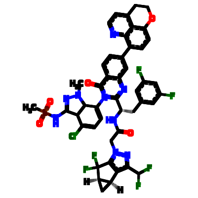 CN1N=C(NS(C)(=O)=O)C2C(Cl)=CC=C(n3c([C@H](Cc4cc(F)cc(F)c4)NC(=O)Cn4nc(C(F)F)c5c4C(F)(F)[C@@H]4C[C@H]54)nc4cc(-c5ccc6c7c(ccnc57)CCO6)ccc4c3=O)C21